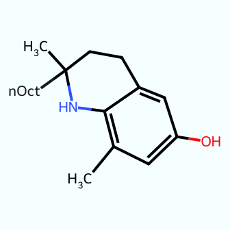 CCCCCCCCC1(C)CCc2cc(O)cc(C)c2N1